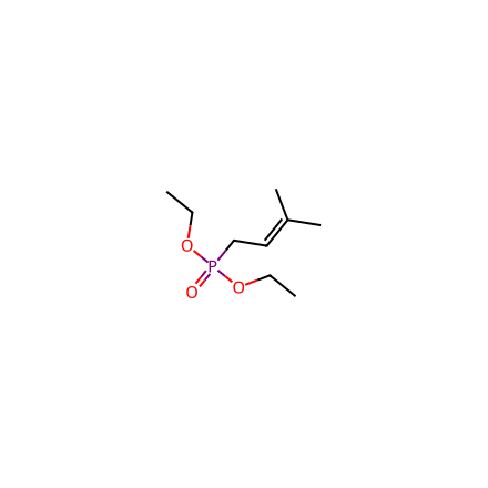 CCOP(=O)(CC=C(C)C)OCC